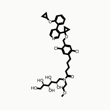 COCCN(C[C@H](O)[C@@H](O)[C@H](O)[C@H](O)CO)C(=O)CCCCc1cc(Cl)c(COC2(c3cnccc3-c3ccccc3OC3CC3)CC2)cc1Cl